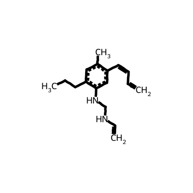 C=C/C=C\c1cc(NCNC=C)c(CCC)cc1C